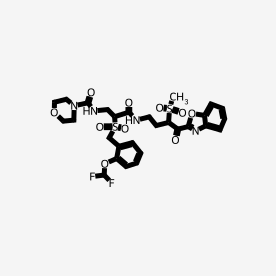 CS(=O)(=O)C(CCNC(=O)C(CNC(=O)N1CCOCC1)S(=O)(=O)Cc1ccccc1OC(F)F)C(=O)c1nc2ccccc2o1